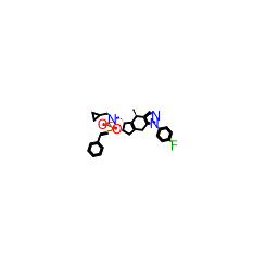 C[C@@H]1C2=C(CC[C@@H]2CN(CC2CC2)S(=O)(=O)/C=C/c2ccccc2)Cc2c1cnn2-c1ccc(F)cc1